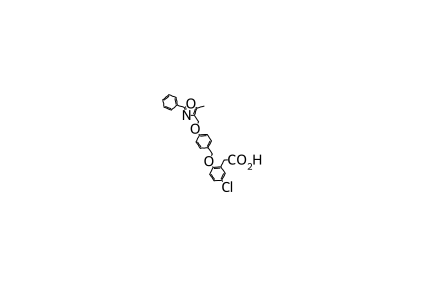 Cc1oc(-c2ccccc2)nc1COc1ccc(COc2ccc(Cl)cc2CC(=O)O)cc1